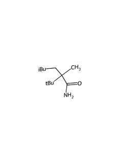 CCC(C)CC(C)(C(N)=O)C(C)(C)C